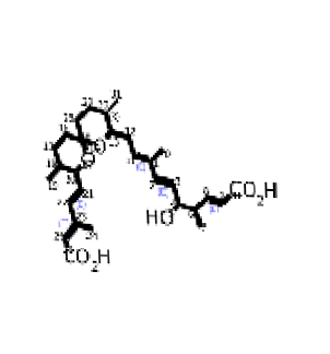 CC(/C=C/C(O)C(C)/C=C/C(=O)O)=C\CC1OC2(CCC(C)C(/C=C/C(C)=C/C(=O)O)O2)CC[C@H]1C